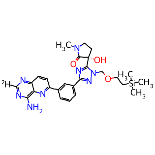 [2H]c1nc(N)c2nc(-c3cccc(-c4nc([C@]5(O)CCN(C)C5=O)n(COCC[Si](C)(C)C)n4)c3)ccc2n1